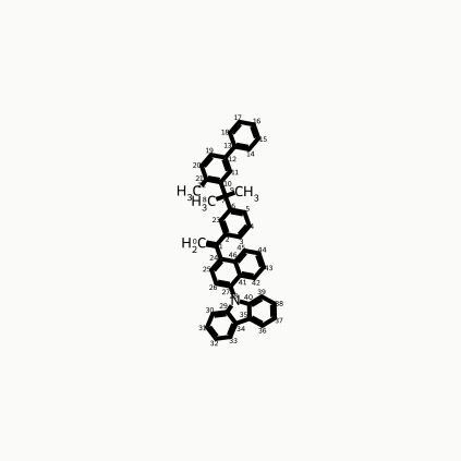 C=C(c1cccc(C(C)(C)c2cc(-c3ccccc3)ccc2C)c1)c1ccc(-n2c3ccccc3c3ccccc32)c2ccccc12